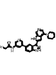 CC(C)CC(=O)Nc1cncc(-c2ccc3[nH]nc(-c4cc5c(N6CCCCC6)cncc5[nH]4)c3c2)c1